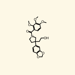 COc1ccc(C(=O)N2CCC(CCO)(c3ccc4c(c3)OCO4)C2)c(OC)c1OC